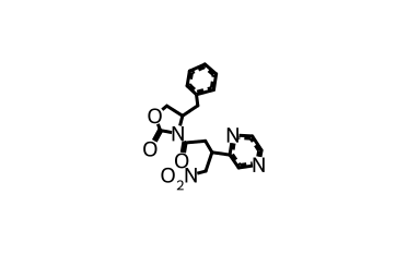 O=C(CC(C[N+](=O)[O-])c1cnccn1)N1C(=O)OCC1Cc1ccccc1